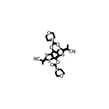 CC(C#N)=C1Sc2c(OC(=O)N3CCOCC3)c3c(c(OC(=O)N4CCOCC4)c2S1)SC(=C(C)C#N)S3